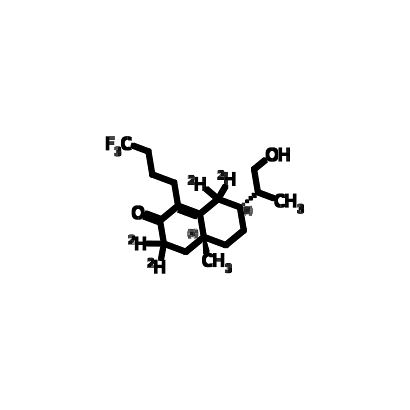 [2H]C1([2H])C[C@@]2(C)CC[C@@H](C(C)CO)C([2H])([2H])C2=C(CCCC(F)(F)F)C1=O